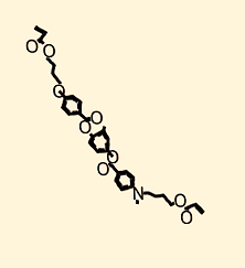 C=CC(=O)OCCCCOc1ccc(C(=O)Oc2ccc(OC(=O)c3ccc(N(C)CCCCOC(=O)C=C)cc3)cc2C)cc1